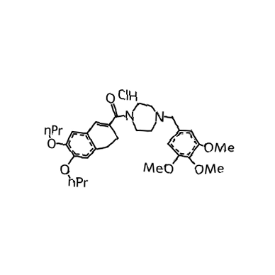 CCCOc1cc2c(cc1OCCC)CCC(C(=O)N1CCN(Cc3cc(OC)c(OC)c(OC)c3)CC1)=C2.Cl